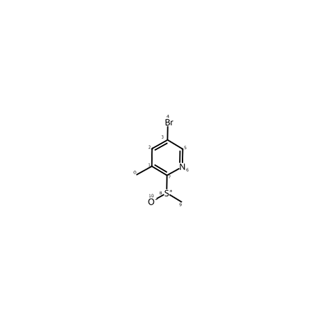 Cc1cc(Br)cnc1[S+](C)[O-]